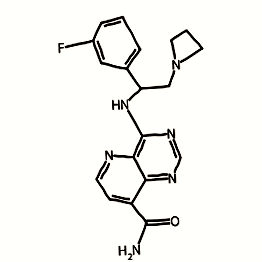 NC(=O)c1ccnc2c(NC(CN3CCC3)c3cccc(F)c3)ncnc12